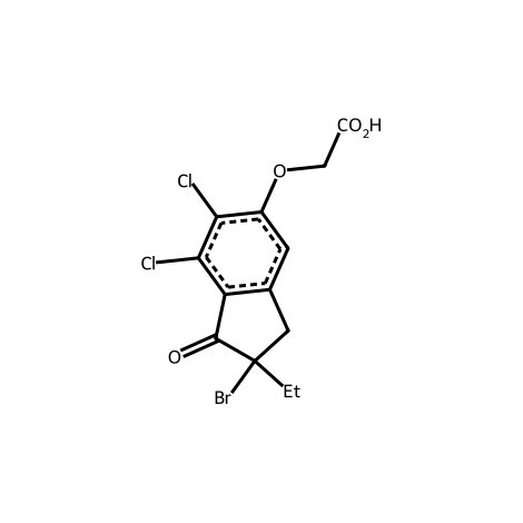 CCC1(Br)Cc2cc(OCC(=O)O)c(Cl)c(Cl)c2C1=O